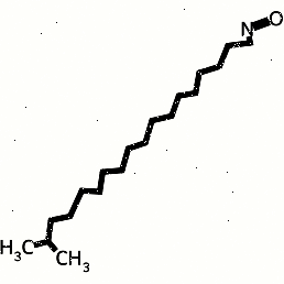 CC(C)CCCCCCCCCCCCCCCCN=O